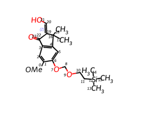 COc1cc2c(cc1OCOCC[Si](C)(C)C)C(C)(C)/C(=C/O)C2=O